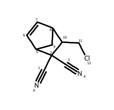 N#CC1(C#N)C2C=CC(C2)C1CCl